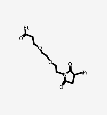 CCC(=O)CCOCCOCCN1C(=O)CC(C(C)C)C1=O